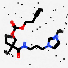 C#CCCOC(=O)OCC(C)(COC)C(=O)NCCCn1cc[n+](CCCC)c1